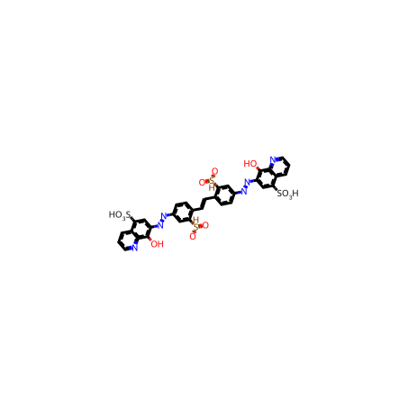 O=[SH](=O)c1cc(/N=N/c2cc(S(=O)(=O)O)c3cccnc3c2O)ccc1/C=C/c1ccc(/N=N/c2cc(S(=O)(=O)O)c3cccnc3c2O)cc1[SH](=O)=O